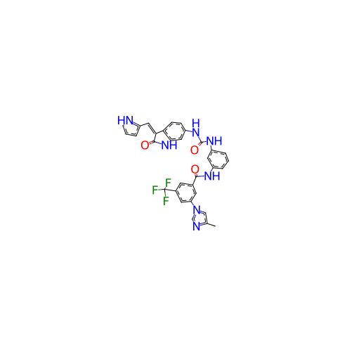 Cc1cn(-c2cc(C(=O)Nc3cccc(NC(=O)Nc4ccc5c(c4)NC(=O)/C5=C\c4ccc[nH]4)c3)cc(C(F)(F)F)c2)cn1